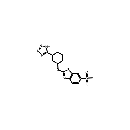 CS(=O)(=O)c1ccc2nc(SC3CCCC(c4nnn[nH]4)C3)sc2c1